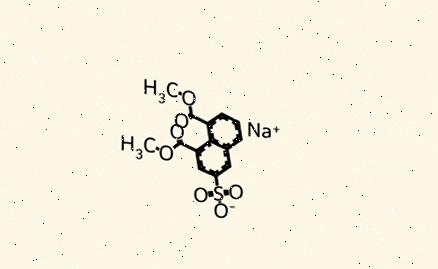 COC(=O)c1cccc2cc(S(=O)(=O)[O-])cc(C(=O)OC)c12.[Na+]